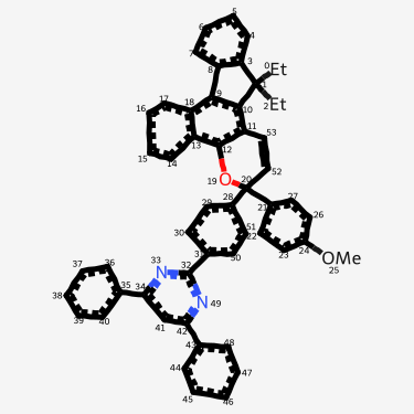 CCC1(CC)c2ccccc2-c2c1c1c(c3ccccc23)OC(c2ccc(OC)cc2)(c2ccc(-c3nc(-c4ccccc4)cc(-c4ccccc4)n3)cc2)C=C1